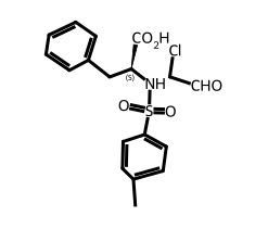 Cc1ccc(S(=O)(=O)N[C@@H](Cc2ccccc2)C(=O)O)cc1.O=CCCl